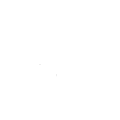 CCC(S)C(S)C(S)S